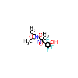 Cc1c(C(=O)N2C[C@@H](C)O[C@@H](C)C2)noc1-c1cc(F)c(F)c(O)c1F